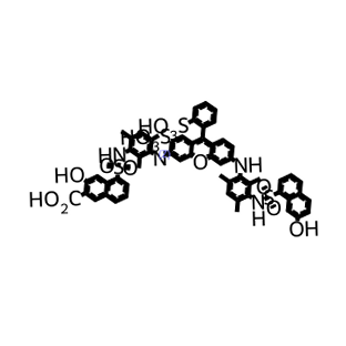 Cc1cc(C)c(NS(=O)(=O)c2cccc3cc(C(=O)O)c(O)cc23)c(C)c1/N=c1/cc2oc3cc(Nc4c(C)cc(C)c(NS(=O)(=O)c5cccc6ccc(O)cc56)c4C)ccc3c(-c3ccccc3S(=O)(=O)O)c-2cc1S(=O)(=O)O